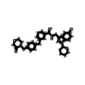 O=C(NCc1nn(C2CCCCO2)c2ccc(Cl)cc12)c1cncc(Cc2ccc(CN3CCOCC3=O)cc2)c1